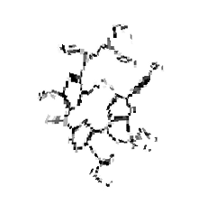 CC#Cc1ccc2c(n1)C(C)(C)CN2c1nc(Nc2cc([N+](=O)[O-])c(N(C)CCN(C)C)cc2OC)ncc1C(=O)OC(C)C